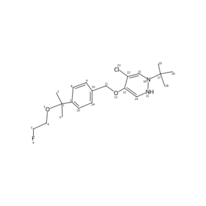 CC(C)(OCCF)c1ccc(COC2=CNN(C(C)(C)C)C=C2Cl)cc1